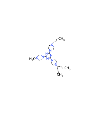 CCCCN1CCN(c2nc(N3CCN(C)CC3)nc(N3CCN(C(CCC)CCC)CC3)n2)CC1